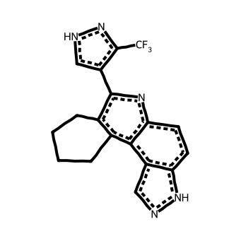 FC(F)(F)c1n[nH]cc1-c1nc2ccc3[nH]ncc3c2c2c1CCCC2